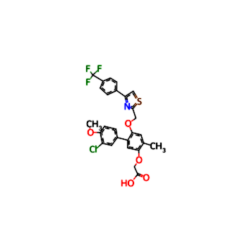 COc1ccc(-c2cc(OCC(=O)O)c(C)cc2OCc2nc(-c3ccc(C(F)(F)F)cc3)cs2)cc1Cl